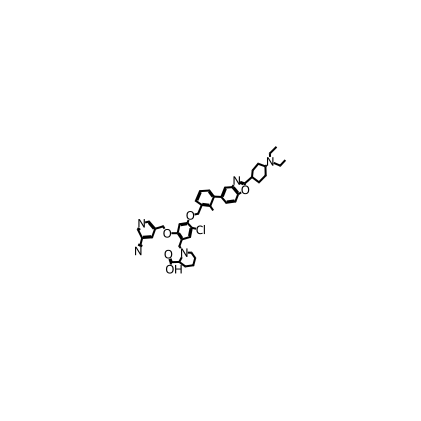 CCN(CC)C1CCC(c2nc3cc(-c4cccc(COc5cc(OCc6cncc(C#N)c6)c(CN6CCCCC6C(=O)O)cc5Cl)c4C)ccc3o2)CC1